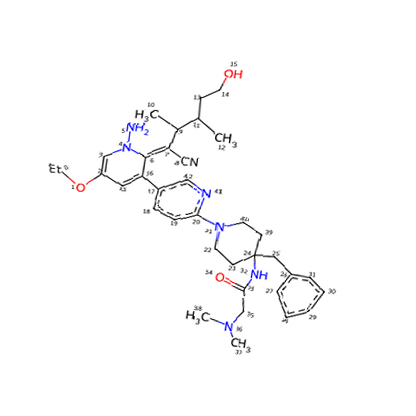 CCOC1=CN(N)/C(=C(/C#N)C(C)C(C)CCO)C(c2ccc(N3CCC(Cc4ccccc4)(NC(=O)CN(C)C)CC3)nc2)=C1